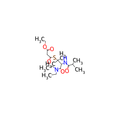 CCOC(=O)CC(=O)SC(C)(C)C(NC(=O)C(C)C)C(=O)N(CC)CC